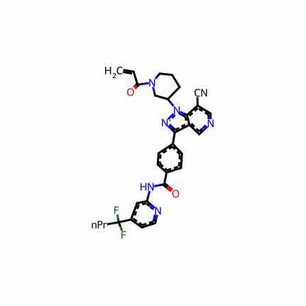 C=CC(=O)N1CCCC(n2nc(-c3ccc(C(=O)Nc4cc(C(F)(F)CCC)ccn4)cc3)c3cncc(C#N)c32)C1